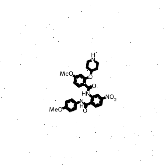 COc1ccc(NC(=O)c2ccc([N+](=O)[O-])cc2NC(=O)c2ccc(OC)cc2OC2CCNCC2)cc1